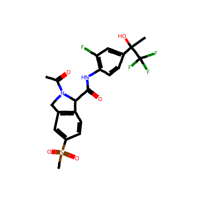 CC(=O)N1Cc2cc(S(C)(=O)=O)ccc2C1C(=O)Nc1ccc(C(C)(O)C(F)(F)F)cc1F